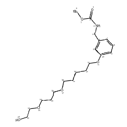 CC(C)(C)OC(=O)NCc1cccc(OCCCCCOCCCOCCO)c1